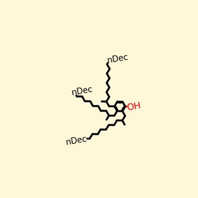 CCCCCCCCCCCCCCCCCCC(C)Cc1ccc(O)c(CC(C)CCCCCCCCCCCCCCCCCC)c1CC(C)CCCCCCCCCCCCCCCCCC